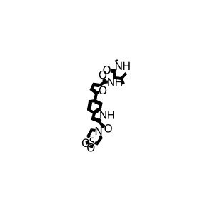 CNC(=O)[C@@H](NC(=O)c1ccc(-c2ccc3cc(C(=O)N4CCS(=O)(=O)CC4)[nH]c3c2)o1)C(C)C